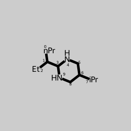 CCCC(CC)C1NCC(C(C)C)CN1